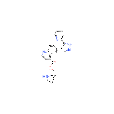 Cc1cccc(-c2[nH]ncc2-c2ccc3nccc(C(=O)OC[C@@H]4CCCN4)c3c2)n1